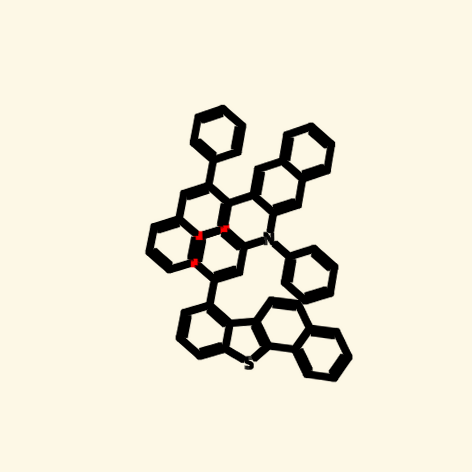 c1ccc(-c2cc3ccccc3cc2-c2cc3ccccc3cc2N(c2ccccc2)c2cccc(-c3cccc4sc5c6ccccc6ccc5c34)c2)cc1